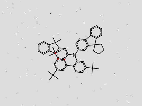 CC(C)(C)c1cc(-c2ccc(C(C)(C)C)cc2N(c2ccc3c(c2)C(C)(C)c2ccccc2-3)c2ccc3c(c2)C2(CCCC2)c2ccccc2-3)cc(C(C)(C)C)c1